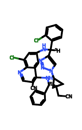 [2H]C(Nc1cc(Cl)c2ncc(C#N)c(N[C@H](CCC#N)c3ccccc3)c2c1)(c1cn(C2CC2)nn1)c1ccccc1Cl